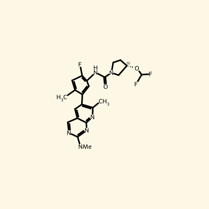 CNc1ncc2cc(-c3cc(NC(=O)N4CC[C@H](OC(F)F)C4)c(F)cc3C)c(C)nc2n1